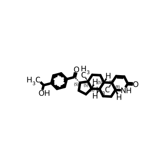 CC(O)c1ccc(C(=O)[C@H]2CC[C@H]3[C@@H]4CC[C@H]5NC(=O)C=C[C@]5(C)[C@H]4CC[C@]23C)cc1